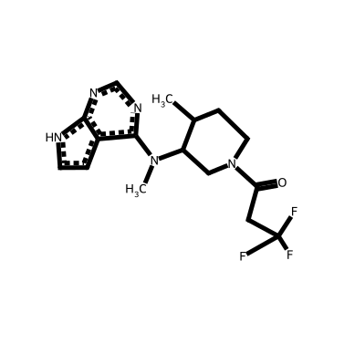 CC1CCN(C(=O)CC(F)(F)F)CC1N(C)c1ncnc2[nH]ccc12